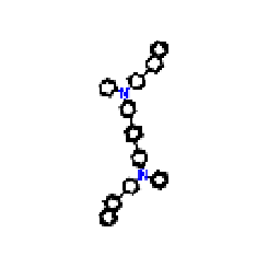 C1=CC(N(c2ccc(-c3ccc(-c4ccc(N(c5ccccc5)c5ccc(-c6ccc7ccccc7c6)cc5)cc4)cc3)cc2)c2ccc(C3C=Cc4ccccc4C3)cc2)=CCC1